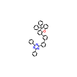 c1ccc(-c2nc(-c3ccccc3)nc(-c3cccc(-c4cccc(-c5cccc6c5Oc5ccccc5[Si]6(c5ccccc5)c5ccccc5)c4)c3)n2)cc1